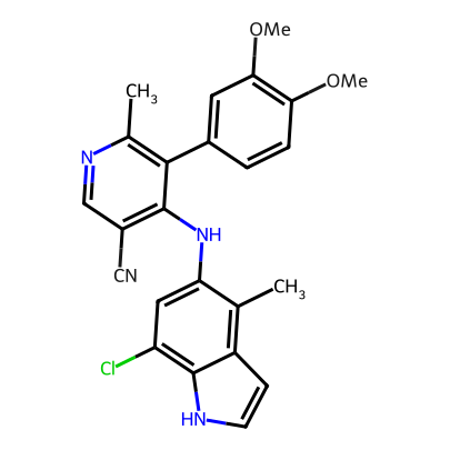 COc1ccc(-c2c(C)ncc(C#N)c2Nc2cc(Cl)c3[nH]ccc3c2C)cc1OC